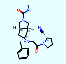 CNC(=O)N1C[C@@H]2C[C@](Cc3ccccc3)(NCC(=O)N3CCC[C@H]3C#N)C[C@@H]2C1